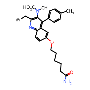 Cc1ccc(-c2c(N(C)C(=O)O)c(CC(C)C)nc3ccc(OCCCCCC(N)=O)cc23)cc1